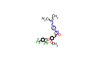 CCCN(CCC)CCN1CCN(C2=NC(=O)/C(=C/c3ccc(OCc4ccc(C(F)(F)F)cc4C(F)(F)F)c(OC)c3)S2)CC1